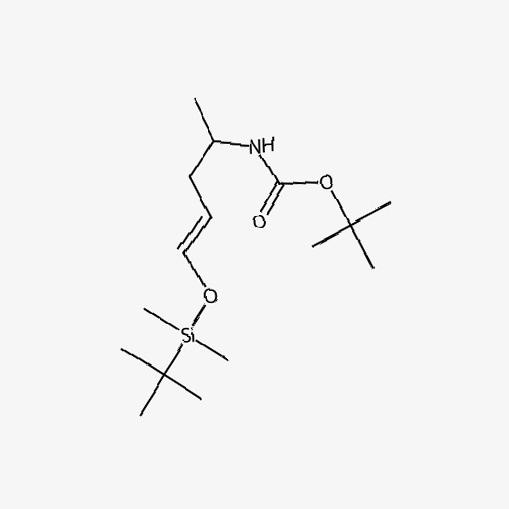 CC(CC=CO[Si](C)(C)C(C)(C)C)NC(=O)OC(C)(C)C